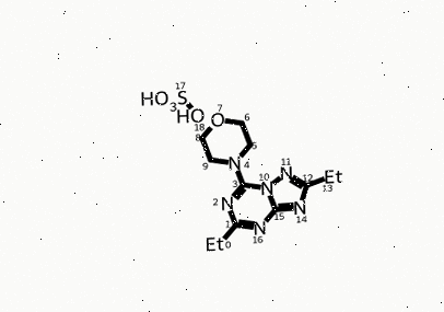 CCc1nc(N2CCOCC2)n2nc(CC)nc2n1.O=S(=O)(O)O